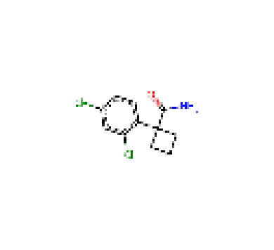 NC(=O)C1(c2ccc(Cl)cc2Cl)CCC1